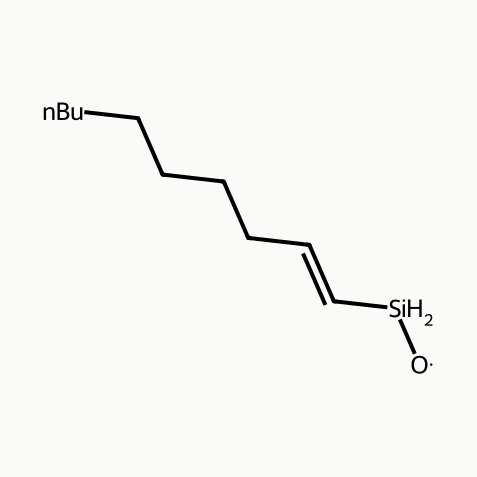 CCCCCCCC/C=C/[SiH2][O]